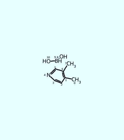 Cc1ccncc1C.OBO